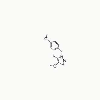 COc1ccc(Cn2ncc(OC)c2I)cc1